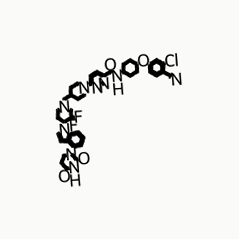 N#Cc1ccc(OC2CCC(NC(=O)c3ccc(N4CCC(CN5CCC(n6ccc7c(N8CCC(=O)NC8=O)cccc76)C(F)(F)C5)CC4)nn3)CC2)cc1Cl